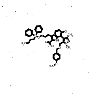 CCCC[Si](OCCCc1c(C(=O)O)[nH]c2c(-c3c(C)nn(C)c3COCc3ccc(OC)cc3)c(Cl)ccc12)(c1ccccc1)c1ccccc1